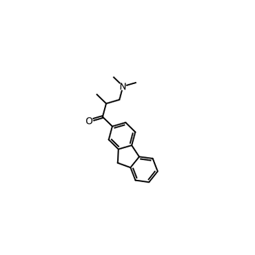 CC(CN(C)C)C(=O)c1ccc2c(c1)Cc1ccccc1-2